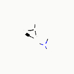 C#CCC.CCC[CH2][SnH]([CH2]CCC)[CH2]CCC.CN(C)C